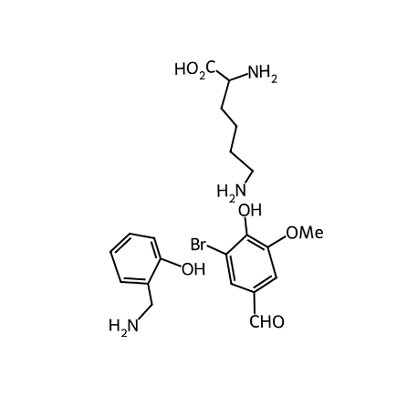 COc1cc(C=O)cc(Br)c1O.NCCCCC(N)C(=O)O.NCc1ccccc1O